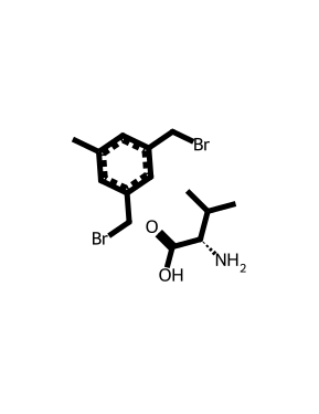 CC(C)[C@H](N)C(=O)O.Cc1cc(CBr)cc(CBr)c1